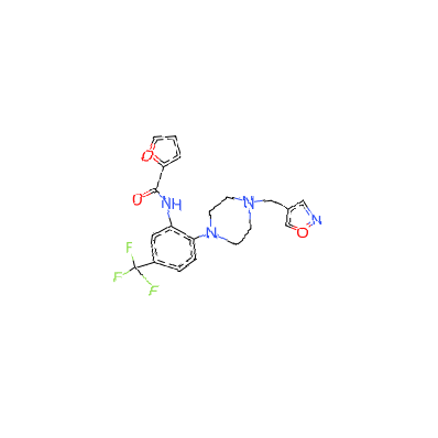 O=C(Nc1cc(C(F)(F)F)ccc1N1CCN(Cc2cnoc2)CC1)c1ccco1